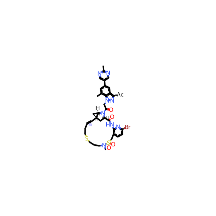 CC(=O)c1nn(CC(=O)N2[C@H]3C[C@@]4(/C=C/CCSCCCN(C)S(=O)(=O)Cc5ccc(Br)nc5NC3=O)C[C@@H]24)c2c(C)cc(-c3cnc(C)nc3)cc12